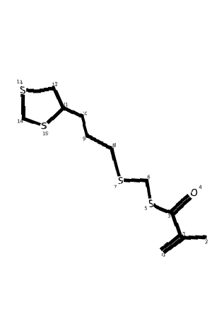 C=C(C)C(=O)SCSCCCC1CSCS1